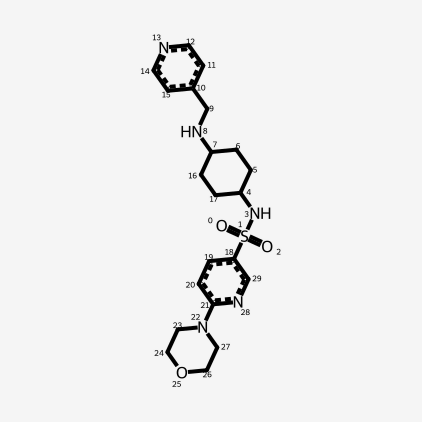 O=S(=O)(NC1CCC(NCc2ccncc2)CC1)c1ccc(N2CCOCC2)nc1